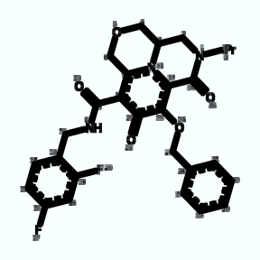 CC(C)N1CC2COCc3c(C(=O)NCc4ccc(F)cc4F)c(=O)c(OCc4ccccc4)c(n32)C1=O